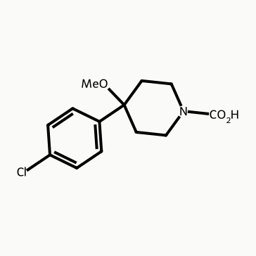 COC1(c2ccc(Cl)cc2)CCN(C(=O)O)CC1